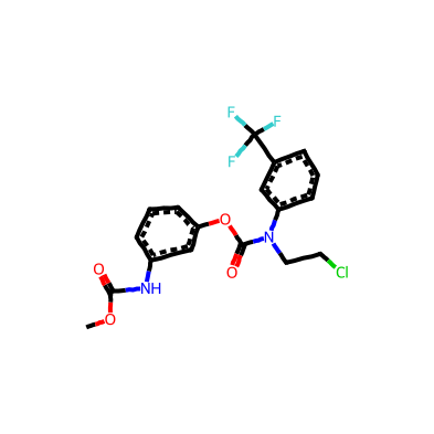 COC(=O)Nc1cccc(OC(=O)N(CCCl)c2cccc(C(F)(F)F)c2)c1